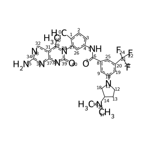 Cc1ccc(NC(=O)c2cc(N3CCC(N(C)C)C3)cc(C(F)(F)F)c2)cc1-n1c(C)c2cnc(N)nc2nc1=O